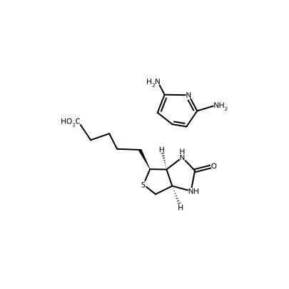 Nc1cccc(N)n1.O=C(O)CCCC[C@@H]1SC[C@@H]2NC(=O)N[C@@H]21